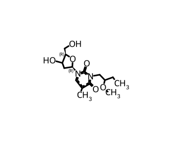 CCC(Cn1c(=O)c(C)cn([C@H]2CC(O)[C@@H](CO)O2)c1=O)OC